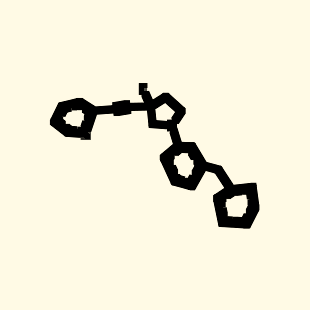 FC1(C#Cc2ccccn2)CCN(c2cccc(Cc3ccccc3)c2)C1